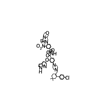 CC1(C)CCC(CN2CCN(c3ccc(C(=O)NS(=O)(=O)c4ccc(NCC5COCCN5C5CCC5)c([N+](=O)[O-])c4)c(Oc4cnc5[nH]ccc5c4)c3)CC2)=C(c2ccc(Cl)cc2)C1